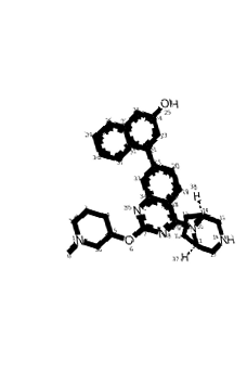 CN1CCCC(Oc2nc(N3[C@@H]4CC[C@H]3CNC4)c3ccc(-c4cc(O)cc5ccccc45)cc3n2)C1